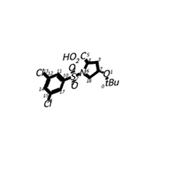 CC(C)(C)O[C@@H]1CC(C(=O)O)N(S(=O)(=O)c2cc(Cl)cc(Cl)c2)C1